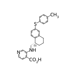 Cc1ccc(Sc2ccc3c(c2)CCC[C@@H]3CNc2cnccc2C(=O)O)cc1